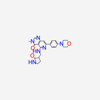 Cn1cnc2cc(-c3ccc(N4CCOCC4)cc3)nc(NCC3CCNC3=O)c2c1=O